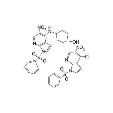 O=[N+]([O-])c1cnc2c(ccn2S(=O)(=O)c2ccccc2)c1Cl.O=[N+]([O-])c1cnc2c(ccn2S(=O)(=O)c2ccccc2)c1NC1CCC(O)CC1